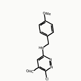 COc1ccc(CNc2cc(C=O)c(Cl)nn2)cc1